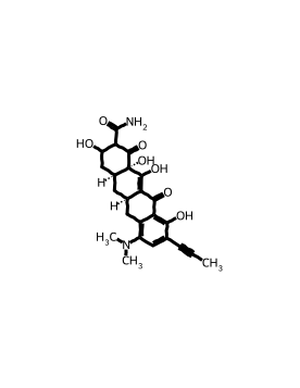 CC#Cc1cc(N(C)C)c2c(c1O)C(=O)C1=C(O)[C@]3(O)C(=O)C(C(N)=O)C(O)C[C@@H]3C[C@@H]1C2